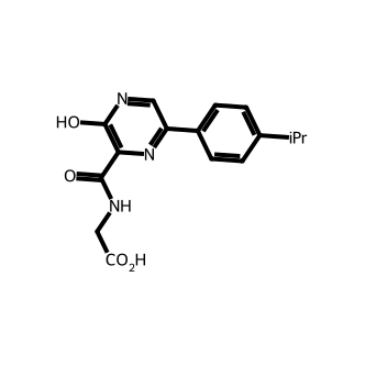 CC(C)c1ccc(-c2cnc(O)c(C(=O)NCC(=O)O)n2)cc1